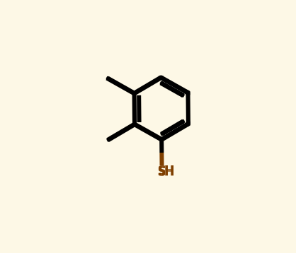 Cc1cccc(S)c1C